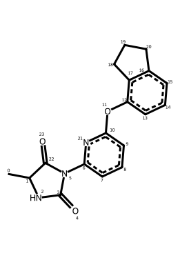 CC1NC(=O)N(c2cccc(Oc3cccc4c3CCC4)n2)C1=O